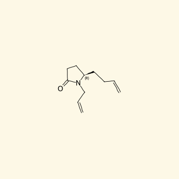 C=CCC[C@@H]1CCC(=O)N1CC=C